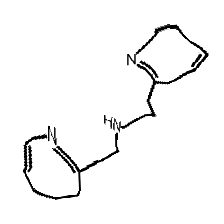 C1=CC(CNCC2=NC=CCC2)=NCC1